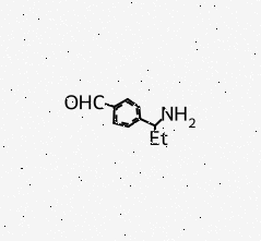 CCC(N)c1ccc(C=O)cc1